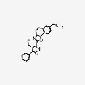 C=Cc1ccc2c(c1)CCc1nc(-c3noc(-c4ccccc4)c3CF)oc1-2